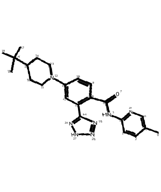 Cc1ccc(NC(=O)c2ccc(N3CCC(C(C)(C)C)CC3)cc2-c2nn[nH]n2)nc1